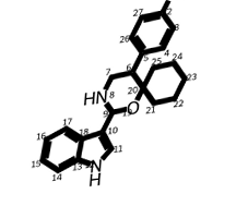 COc1ccc(C2CNC(c3c[nH]c4ccccc34)OC23CCCCC3)cc1